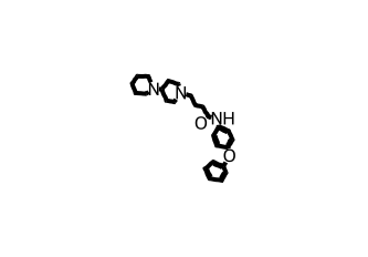 O=C(CCCN1CCC(N2CCCCC2)CC1)Nc1ccc(Oc2ccccc2)cc1